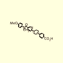 COc1ccc(N(C)C(=O)c2ccc(N3CCN(c4ccc(C(=O)O)cc4)CC3)nc2)cc1